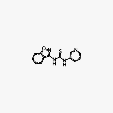 S=C(Nc1cccnc1)Nc1noc2ccccc12